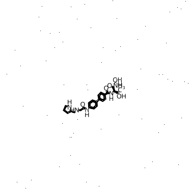 C[C@@H](O)[C@H](NC(=O)c1ccc(-c2ccc(NC(=O)CNCC3CCCN3)cc2)cc1)C(=O)NO